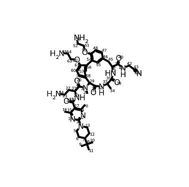 Cc1nc(N2CCC(C(C)(C)C)CC2)nc(C)c1C(=O)NC(CCN)C(=O)N(C)C1C(=O)NC(C)C(=O)NC(C(=O)NCC#N)Cc2ccc(OCCN)c(c2)-c2cc1ccc2OCCN